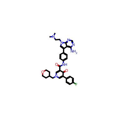 CN(C)CCn1cc(-c2ccc(NC(=O)c3cn(CC4CCOCC4)cc(-c4ccc(F)cc4)c3=O)cc2)c2c(N)ncnc21